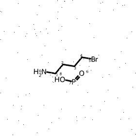 NCCCCBr.O=PO